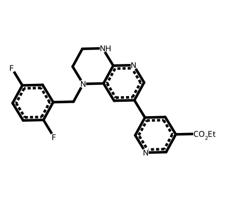 CCOC(=O)c1cncc(-c2cnc3c(c2)N(Cc2cc(F)ccc2F)CCN3)c1